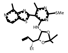 C=C[C@@H](CC)[C@H]1OC(C)(C)O[C@H]1Nc1nc(SC)nc(C)c1-c1nc2c(C)nccc2s1